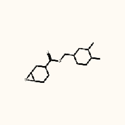 CC1CCC(COC(=O)C2CCC3OC3C2)CC1C